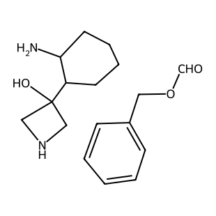 NC1CCCCC1C1(O)CNC1.O=COCc1ccccc1